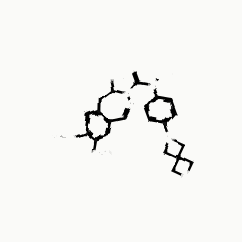 COc1cc2c(cc1OC)CC(C)N(C(=O)N(C)c1ccc(N3CC4(COC4)C3)cc1)N=C2